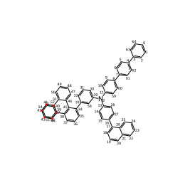 c1ccc(-c2ccc(-c3ccc(N(c4ccc(-c5cccc6ccccc56)cc4)c4cccc(-c5cccc(-c6ccccc6)c5-c5ccccc5-c5ccccc5)c4)cc3)cc2)cc1